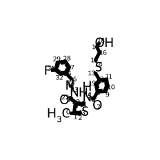 Cc1csc(NC(=O)c2cccc(CSCCCO)c2)c1C(=O)NN=Cc1cccc(F)c1